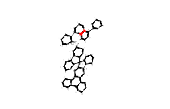 c1ccc(-c2ccc(N(c3ccc4c(c3)-c3ccccc3C43c4ccccc4-c4cc5c6ccccc6c6ccccc6c5cc43)c3ccccc3-c3ccccc3)cc2)cc1